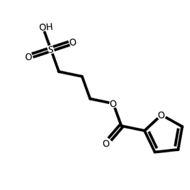 O=C(OCCCS(=O)(=O)O)c1ccco1